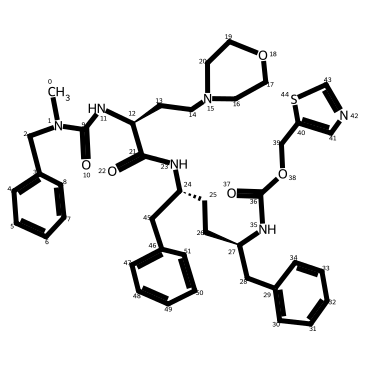 CN(Cc1ccccc1)C(=O)N[C@@H](CCN1CCOCC1)C(=O)N[C@H](CC[C@H](Cc1ccccc1)NC(=O)OCc1cncs1)Cc1ccccc1